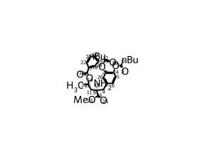 CCCCC(=O)Oc1ccc(C[C@](N)(CC(C)OC(=O)c2ccccc2)C(=O)OC)cc1OC(=O)CCCC